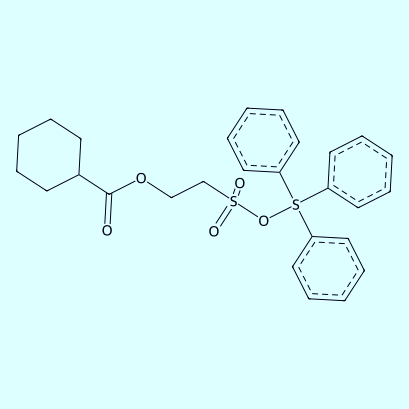 O=C(OCCS(=O)(=O)OS(c1ccccc1)(c1ccccc1)c1ccccc1)C1CCCCC1